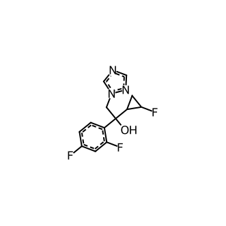 OC(Cn1cncn1)(c1ccc(F)cc1F)C1CC1F